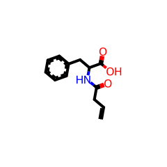 C=CCC(=O)NC(Cc1ccccc1)C(=O)O